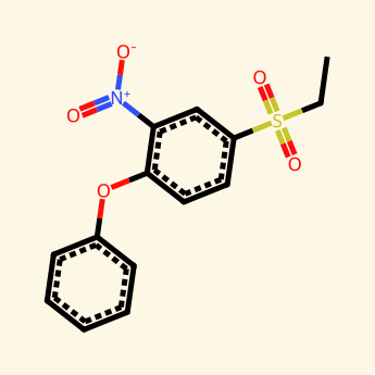 CCS(=O)(=O)c1ccc(Oc2ccccc2)c([N+](=O)[O-])c1